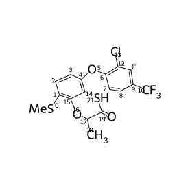 CSc1ccc(Oc2ccc(C(F)(F)F)cc2Cl)cc1OC(C)C(=O)S